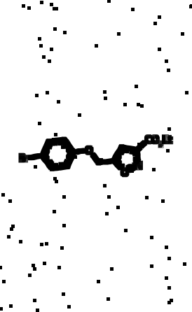 CCOC(=O)c1cc(COc2ccc(Br)cc2)on1